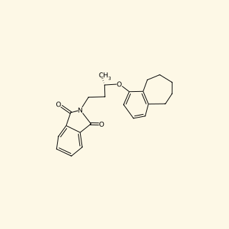 C[C@@H](CCN1C(=O)c2ccccc2C1=O)Oc1cccc2c1CCCCC2